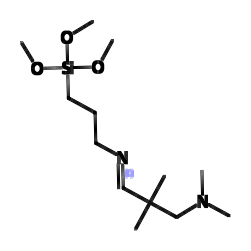 CO[Si](CCC/N=C/C(C)(C)CN(C)C)(OC)OC